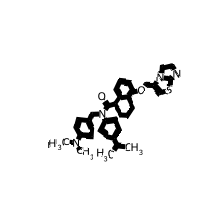 CC(C)c1ccc(N(Cc2ccc(N(C)C)cc2)C(=O)C2CCCc3c(OCC4=CSC5=NCCN45)cccc32)cc1